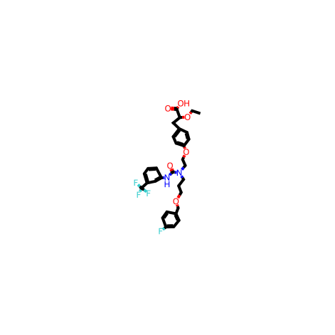 CCOC(Cc1ccc(OCCN(CCCOCc2ccc(F)cc2)C(=O)Nc2cccc(C(F)(F)F)c2)cc1)C(=O)O